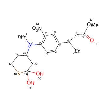 CCCN(c1ccc(C(CC)CC(=O)OC)cc1[N+](=O)[O-])C1CCSC(O)(O)C1